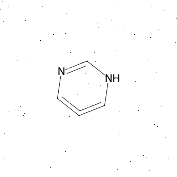 C1=CN=CNC=1